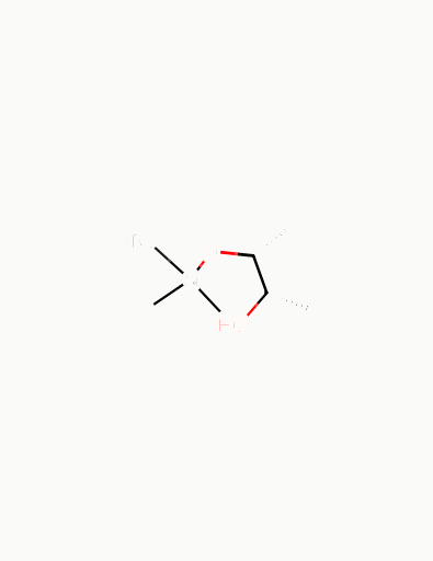 C[C@H](O)[C@@H](C)O[Si](C)(C)C(C)(C)C